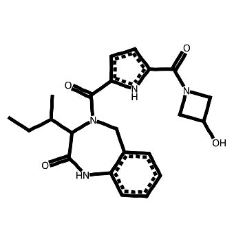 CCC(C)C1C(=O)Nc2ccccc2CN1C(=O)c1ccc(C(=O)N2CC(O)C2)[nH]1